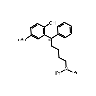 CCCCc1ccc(O)c([C@H](CCCCN(C(C)C)C(C)C)c2ccccc2)c1